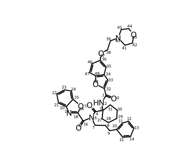 O=C(NC1(C(=O)N(CCCc2ccccc2)C(=O)c2nc3ccccc3o2)CCCCC1)c1cc2cc(OCCN3CCOCC3)ccc2o1